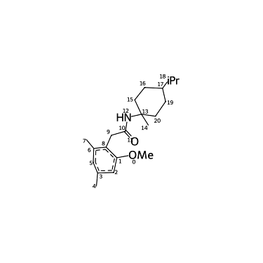 COc1cc(C)cc(C)c1CC(=O)NC1(C)CCC(C(C)C)CC1